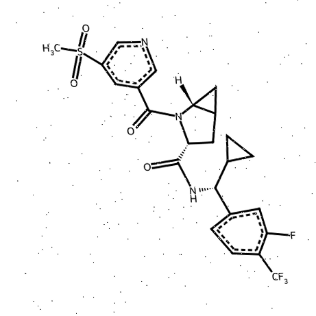 CS(=O)(=O)c1cncc(C(=O)N2[C@@H](C(=O)N[C@@H](c3ccc(C(F)(F)F)c(F)c3)C3CC3)CC3C[C@H]32)c1